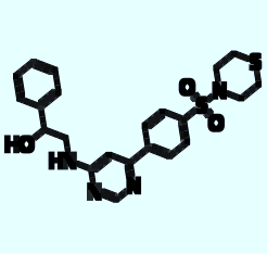 O=S(=O)(c1ccc(-c2cc(NCC(O)c3ccccc3)ncn2)cc1)N1CCSCC1